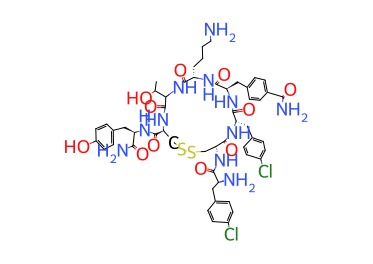 CC(O)C1NC(=O)[C@H](CCCCN)NC(=O)[C@@H](Cc2ccc(C(N)=O)cc2)NC(=O)[C@H](Cc2ccc(Cl)cc2)NC(=O)[C@H](NC(=O)[C@@H](N)Cc2ccc(Cl)cc2)CSSC[C@@H](C(=O)N[C@H](Cc2ccc(O)cc2)C(N)=O)NC1=O